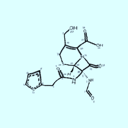 O=CN[C@@]1(NC(=O)Cc2cccs2)C(=O)N2C(C(=O)O)=C(CO)CS[C@H]21